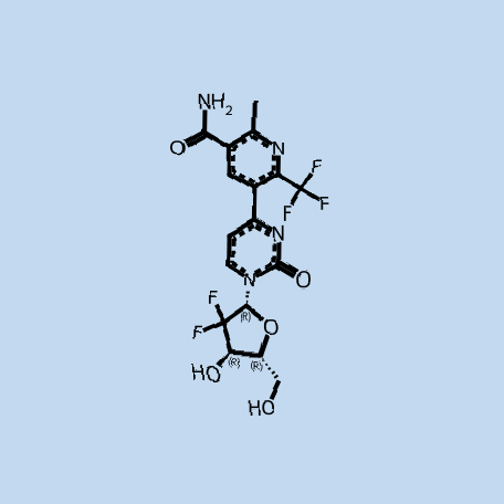 Cc1nc(C(F)(F)F)c(-c2ccn([C@@H]3O[C@H](CO)[C@@H](O)C3(F)F)c(=O)n2)cc1C(N)=O